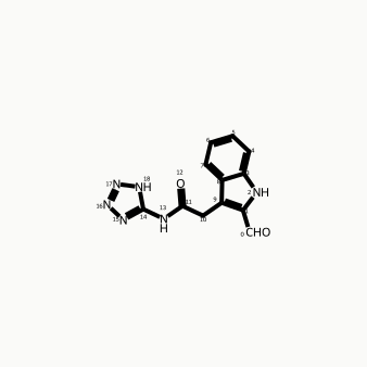 O=Cc1[nH]c2ccccc2c1CC(=O)Nc1nnn[nH]1